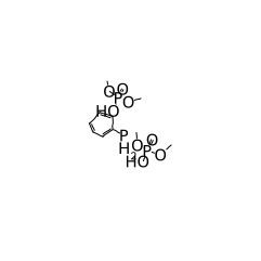 COP(=O)(O)OC.COP(=O)(O)OC.Pc1ccccc1